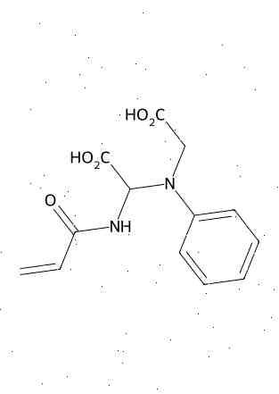 C=CC(=O)NC(C(=O)O)N(CC(=O)O)c1ccccc1